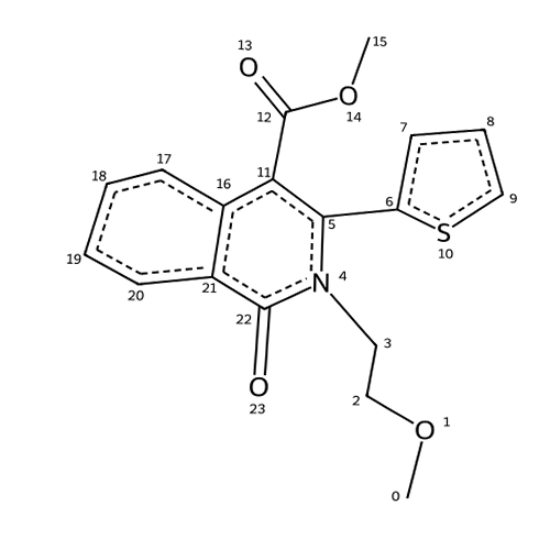 COCCn1c(-c2cccs2)c(C(=O)OC)c2ccccc2c1=O